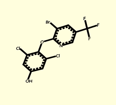 Oc1cc(Cl)c(Oc2ncc(C(F)(F)F)cc2Br)c(Cl)c1